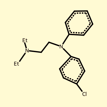 CCN(CC)CCN(c1ccccc1)c1ccc(Cl)cc1